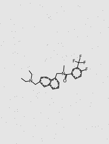 CCN(CC)Cc1ccc2c(CN(C)C(=O)c3ccc(F)c(C(F)(F)F)c3)cccc2c1